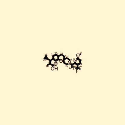 COc1ccc(C(F)(F)F)c(C(C)N2CCC3(CCc4ccc(C(C5CC5)C(C)C(=O)O)cc4O3)CC2)n1